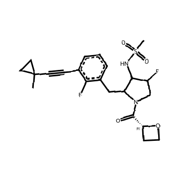 CC1(C#Cc2cccc(CC3C(NS(C)(=O)=O)C(F)CN3C(=O)[C@H]3CCO3)c2F)CC1